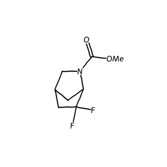 COC(=O)N1CC2CC1C(F)(F)C2